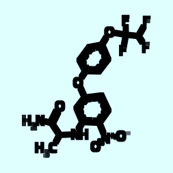 CC(Nc1cc(Oc2ccc(OC(F)(F)C(F)F)cc2)ccc1[N+](=O)[O-])C(N)=O